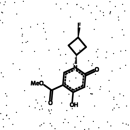 COC(=O)c1cn([C@H]2C[C@H](F)C2)c(=O)cc1O